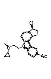 CC(=O)c1ccc2c(c1)c1c3c(ccc1n2CCN(C)C1CC1)C(=O)CC3